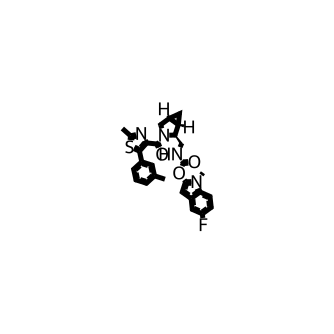 Cc1cccc(-c2sc(C)nc2C(=O)N2C[C@@H]3C[C@@H]3[C@H]2CNC(=O)Oc2cc3cc(F)ccc3n2C)c1